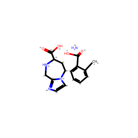 Cc1ccccc1C(=O)O.N.O=C(O)C1CCn2ccnc2CN1